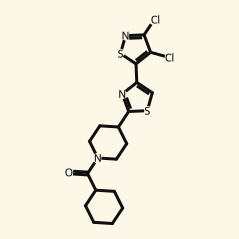 O=C(C1CCCCC1)N1CCC(c2nc(-c3snc(Cl)c3Cl)cs2)CC1